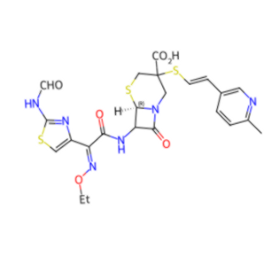 CCON=C(C(=O)NC1C(=O)N2CC(SC=Cc3ccc(C)nc3)(C(=O)O)CS[C@H]12)c1csc(NC=O)n1